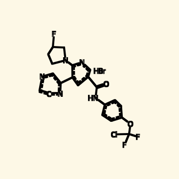 Br.O=C(Nc1ccc(OC(F)(F)Cl)cc1)c1cnc(N2CCC(F)C2)c(-c2cnccn2)c1